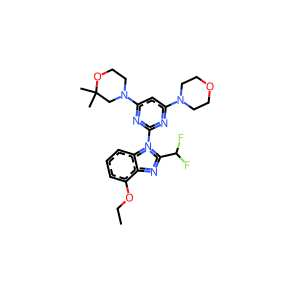 CCOc1cccc2c1nc(C(F)F)n2-c1nc(N2CCOCC2)cc(N2CCOC(C)(C)C2)n1